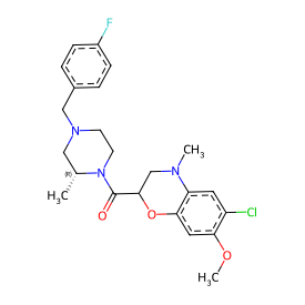 COc1cc2c(cc1Cl)N(C)CC(C(=O)N1CCN(Cc3ccc(F)cc3)C[C@H]1C)O2